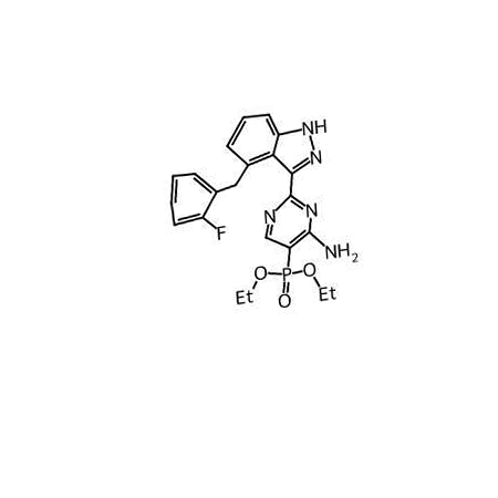 CCOP(=O)(OCC)c1cnc(-c2n[nH]c3cccc(Cc4ccccc4F)c23)nc1N